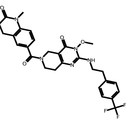 COn1c(NCCc2ccc(C(F)(F)F)cc2)nc2c(c1=O)CN(C(=O)c1ccc3c(c1)CCC(=O)N3C)CC2